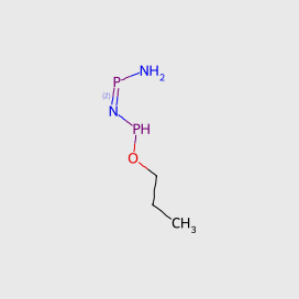 CCCOP/N=P\N